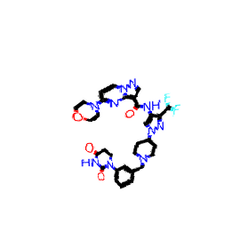 O=C1CCN(c2cccc(CN3CCC(n4cc(NC(=O)c5cnn6ccc(N7CCOCC7)nc56)c(C(F)F)n4)CC3)c2)C(=O)N1